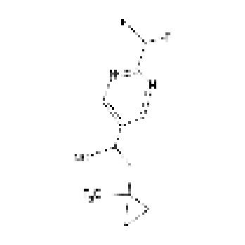 N#CC(CC1(C(F)(F)F)CC1)c1cnc(C(F)F)nc1